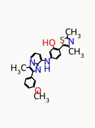 COc1cccc(-c2nc3c(Nc4ccc(-c5sc(C)nc5C)c(O)c4)cccn3c2C)c1